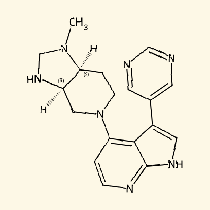 CN1CN[C@@H]2CN(c3ccnc4[nH]cc(-c5cncnc5)c34)CC[C@@H]21